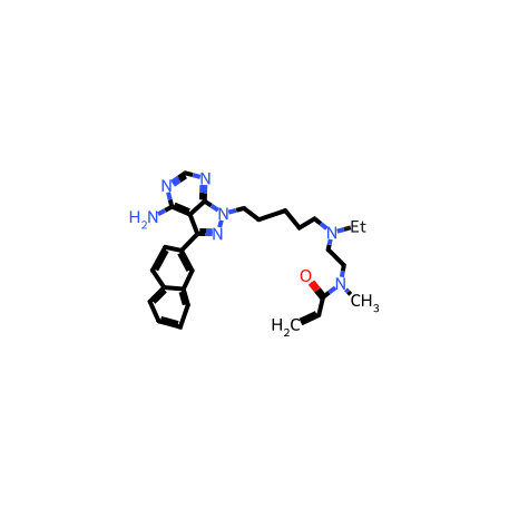 C=CC(=O)N(C)CCN(CC)CCCCCn1nc(-c2ccc3ccccc3c2)c2c(N)ncnc21